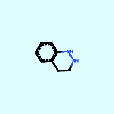 [C]1Cc2ccccc2NN1